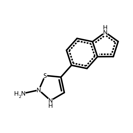 NN1NC=C(c2ccc3[nH]ccc3c2)S1